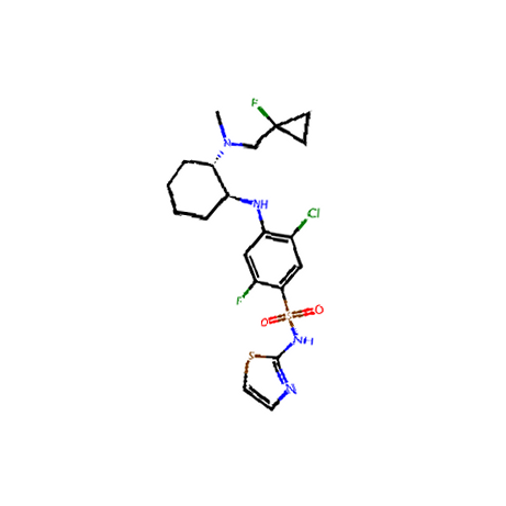 CN(CC1(F)CC1)[C@H]1CCCC[C@@H]1Nc1cc(F)c(S(=O)(=O)Nc2nccs2)cc1Cl